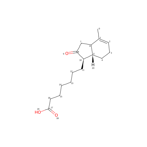 CC1=CCC[C@H]2C1CC(=O)[C@@H]2CCCCCCC(=O)O